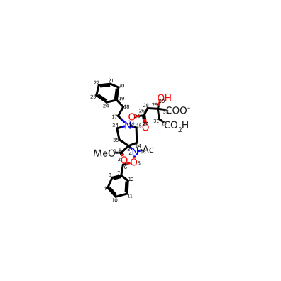 COC(=O)C1(N(OCc2ccccc2)C(C)=O)CC[N+](CCc2ccccc2)(OC(=O)CC(O)(CC(=O)O)C(=O)[O-])CC1